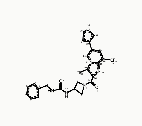 O=C(NCc1ccccc1)NC1CN(C(=O)c2nc3c(C(F)(F)F)cc(-c4ccoc4)cn3c2Cl)C1